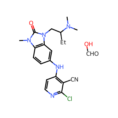 CCC(Cn1c(=O)n(C)c2ccc(Nc3ccnc(Cl)c3C#N)cc21)N(C)C.O=CO